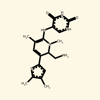 CC1=C(Nc2c[nH]c(=O)[nH]c2=O)N(C)C(CN)C(c2cc(C)c(C)s2)=C1